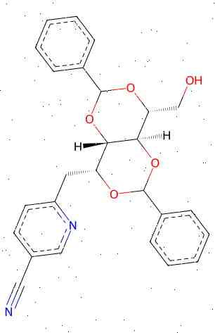 N#Cc1ccc(C[C@H]2OC(c3ccccc3)O[C@H]3[C@H]2OC(c2ccccc2)O[C@@H]3CO)nc1